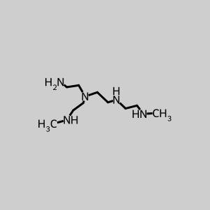 CNCCNCCN(CCN)CCNC